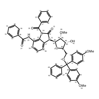 COc1ccc(C(OC[C@H]2O[C@@H](n3c(=O)n(C(=O)c4ccccc4)c4c(NC(=O)c5ccccc5)ncnc43)[C@H](OC)[C@@H]2O)(c2ccccc2)c2ccc(OC)cc2)cc1